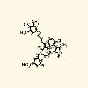 Cc1cc(OCCCc2c3n(c4c(-c5c(C)nn(C)c5C)c(Cl)ccc24)CCCN(Cc2cc(C(=O)O)cc(Cl)n2)C3=O)cc(C)c1Cl